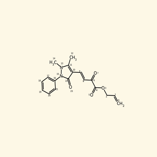 C=CCOC(=O)C(=O)C=Cc1c(C)n(C)n(-c2ccccc2)c1=O